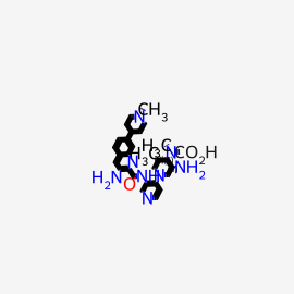 C[C@@H]1CN(c2ccncc2NC(=O)c2nc3cc(C4CCN(C)CC4)ccc3cc2N)C[C@H](N)[C@H]1N(C)C(=O)O